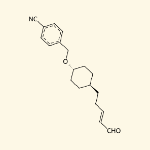 N#Cc1ccc(CO[C@H]2CC[C@H](CC/C=C/C=O)CC2)cc1